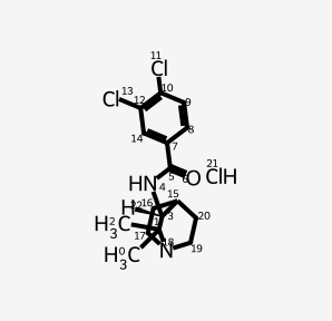 CC1(C)[C@H](NC(=O)c2ccc(Cl)c(Cl)c2)C2CCN1CC2.Cl